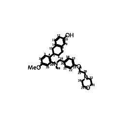 COc1ccc(C2CCc3cc(O)ccc3C2)c(N(C)Cc2ccc(OCCN3CCOCC3)cc2)c1